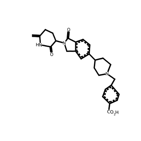 C=C1CCC(N2Cc3cc(C4CCN(Cc5ccc(C(=O)O)cc5)CC4)ccc3C2=O)C(=O)N1